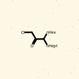 CCCCCCCC(CCCCCC)C(=O)CCl